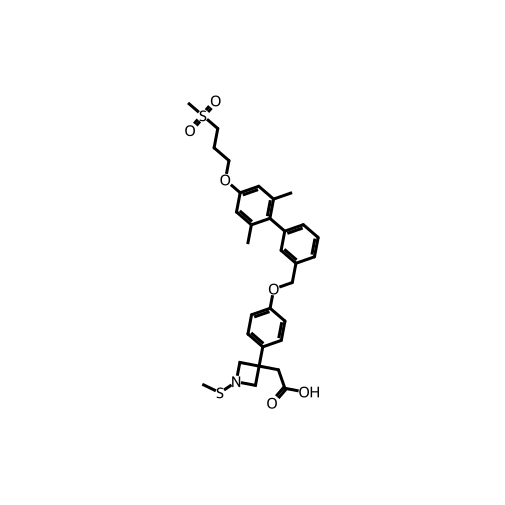 CSN1CC(CC(=O)O)(c2ccc(OCc3cccc(-c4c(C)cc(OCCCS(C)(=O)=O)cc4C)c3)cc2)C1